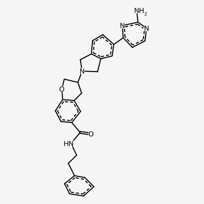 Nc1nccc(-c2ccc3c(c2)CN(C2COc4ccc(C(=O)NCCc5ccccc5)cc4C2)C3)n1